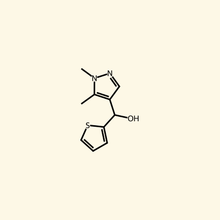 Cc1c(C(O)c2cccs2)cnn1C